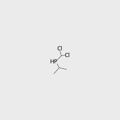 CC(C)PC(Cl)Cl